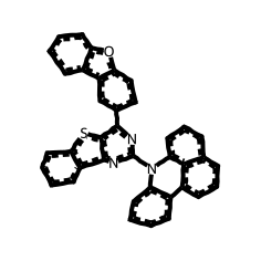 c1ccc2c(c1)-c1cccc3cccc(c13)N2c1nc(-c2ccc3oc4ccccc4c3c2)c2sc3ccccc3c2n1